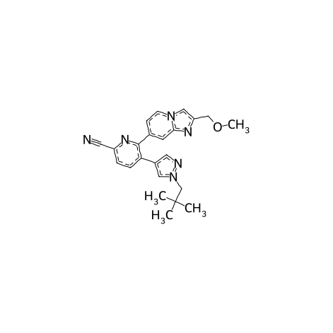 COCc1cn2ccc(-c3nc(C#N)ccc3-c3cnn(CC(C)(C)C)c3)cc2n1